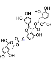 O=C(/C=C/c1ccc(O)c2c1O[C@@H](c1ccc(O)c(O)c1)C2C(=O)OCCc1c(C(=O)O)ccc(O)c1O)OCCc1c(C(=O)O)ccc(O)c1O